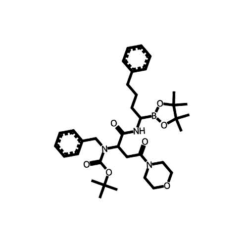 CC(C)(C)OC(=O)N(Cc1ccccc1)C(CC(=O)N1CCOCC1)C(=O)NC(CCCc1ccccc1)B1OC(C)(C)C(C)(C)O1